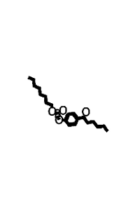 CCCCCCCCOB1Oc2ccc(C(=O)CCCCC)cc2O1